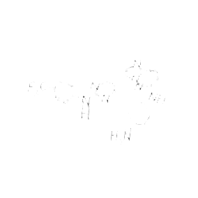 N[C@H]1CC[C@H](Nc2ccc3ncc(-c4cnc(Nc5ccc(C(F)(F)F)cc5)nc4)n3n2)CC1